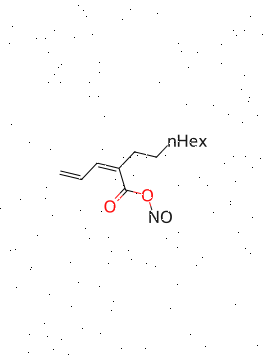 C=CC=C(CCCCCCCC)C(=O)ON=O